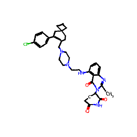 Cc1nc2cccc(NCCN3CCN(CC4=C(c5ccc(Cl)cc5)CC5(CCC5)CC4)CC3)c2c(=O)n1C1CCC(=O)NC1=O